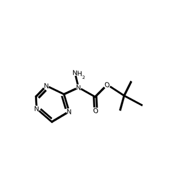 CC(C)(C)OC(=O)N(N)c1ncncn1